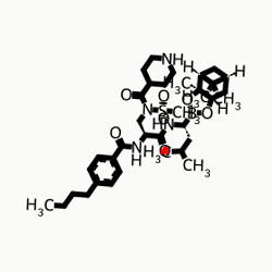 CCCCc1ccc(C(=O)N[C@@H](CN(C(=O)C2CCNCC2)S(C)(=O)=O)C(=O)N[C@@H](CC(C)C)B2O[C@@H]3C[C@@H]4C[C@@H](C4(C)C)[C@]3(C)O2)cc1